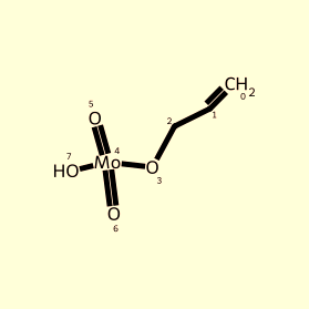 C=CC[O][Mo](=[O])(=[O])[OH]